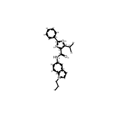 CCCn1ccc2cc(NC(=O)c3nc(-c4ccccc4)oc3C(C)C)ccc21